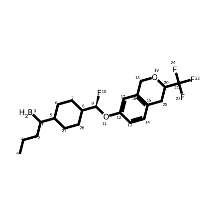 BC(CCC)C1CCC([C@@H](F)Oc2ccc3c(c2)COC(C(F)(F)F)C3)CC1